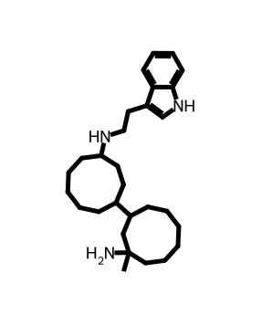 CC1(N)CCCCCCC(C2CCCCCC(NCCc3c[nH]c4ccccc34)CC2)C1